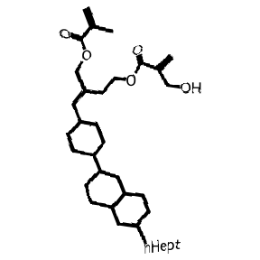 C=C(C)C(=O)OCC(CCOC(=O)C(=C)CO)CC1CCC(C2CCC3CC(CCCCCCC)CCC3C2)CC1